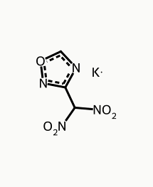 O=[N+]([O-])C(c1ncon1)[N+](=O)[O-].[K]